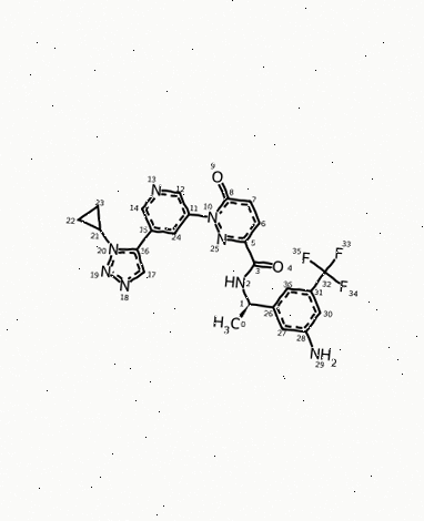 C[C@@H](NC(=O)c1ccc(=O)n(-c2cncc(-c3cnnn3C3CC3)c2)n1)c1cc(N)cc(C(F)(F)F)c1